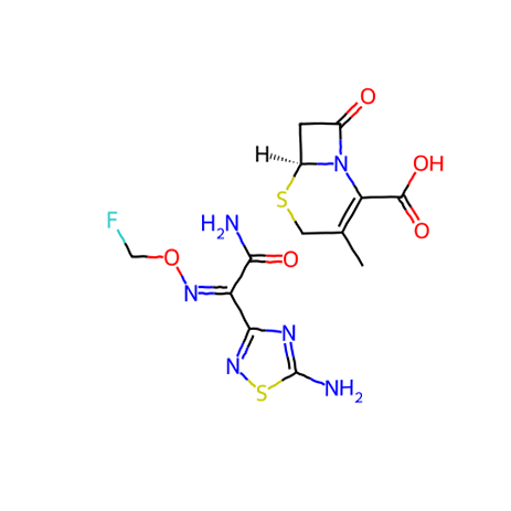 CC1=C(C(=O)O)N2C(=O)C[C@@H]2SC1.NC(=O)/C(=N\OCF)c1nsc(N)n1